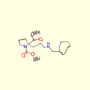 COC(=O)C1(CCCNCC2=CC=CCC2)CCCN1C(=O)OC(C)(C)C